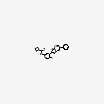 O=C(Nc1ccc(F)c(-c2cn3cc(-c4ccccc4)cnc3n2)c1)N1CCC1